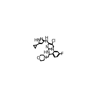 Fc1ccc(C(CN2CCOCC2)Nc2ncc(Cl)c(Nc3cc(C4CC4)[nH]n3)n2)cc1